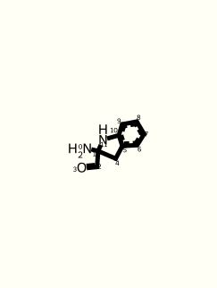 NC1(C=O)Cc2ccccc2N1